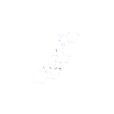 C[C@]12CCCC=C1CC[C@@H]1[C@@H]2CC[C@]2(C)C(n3cnc4ccccc43)=CC[C@@H]12